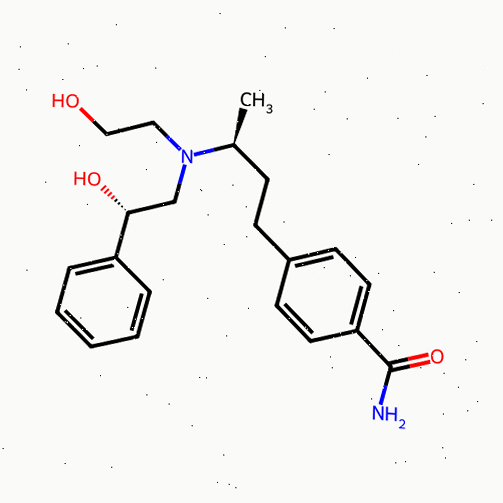 C[C@@H](CCc1ccc(C(N)=O)cc1)N(CCO)C[C@@H](O)c1ccccc1